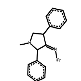 CC(C)N=C1C(c2ccccc2)CN(C)C1c1ccccc1